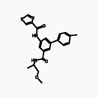 COCC(C)NC(=O)c1cc(NC(=O)c2cscn2)cc(-c2ccc(C)cc2)c1